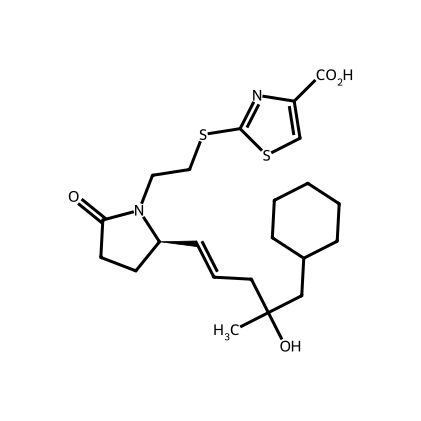 CC(O)(C/C=C/[C@H]1CCC(=O)N1CCSc1nc(C(=O)O)cs1)CC1CCCCC1